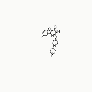 Cc1ccc2oc3c(=O)[nH]c(CN4CCN(C5CCN(C)CC5)CC4)nc3c2c1